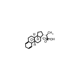 CC(C(=O)O)[C@H]1CC[C@H]2[C@@H]3CCC4=CCC=C[C@]4(C)[C@H]3CC[C@]12C